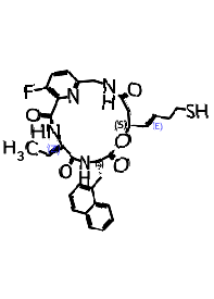 C/C=C1\NC(=O)c2nc(ccc2F)CNC(=O)C[C@@H](/C=C/CCS)OC(=O)[C@H](Cc2cccc3ccccc23)NC1=O